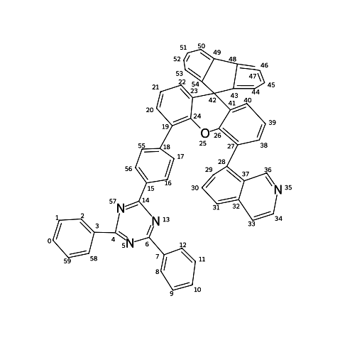 c1ccc(-c2nc(-c3ccccc3)nc(-c3ccc(-c4cccc5c4Oc4c(-c6cccc7ccncc67)cccc4C54c5ccccc5-c5ccccc54)cc3)n2)cc1